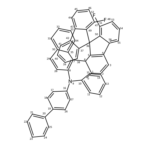 CC1C=CC2=C(C1c1c(N(c3ccccc3)c3ccc(-c4ccccc4)cc3)ccc3ccccc13)C1(c3ccccc3-c3cccc(F)c31)c1c(F)cccc12